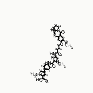 COc1cc2c(cc1OCCCC(=O)Nc1cn(C)c(C(=O)Nc3ccc(-c4cc(C(=O)O)n(C)c4)cc3)n1)N=C[C@@H]1CCCN1C2=O